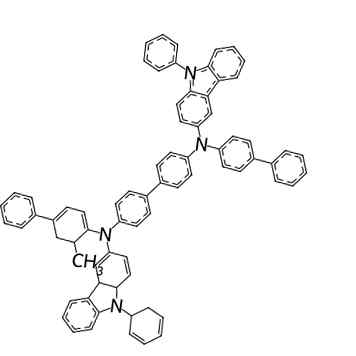 CC1CC(c2ccccc2)=CC=C1N(C1=CC2c3ccccc3N(C3C=CC=CC3)C2C=C1)c1ccc(-c2ccc(N(c3ccc(-c4ccccc4)cc3)c3ccc4c(c3)c3ccccc3n4-c3ccccc3)cc2)cc1